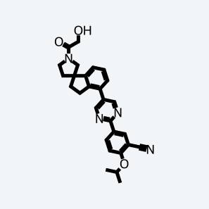 CC(C)Oc1ccc(-c2ncc(-c3cccc4c3CCC43CCN(C(=O)CO)C3)cn2)cc1C#N